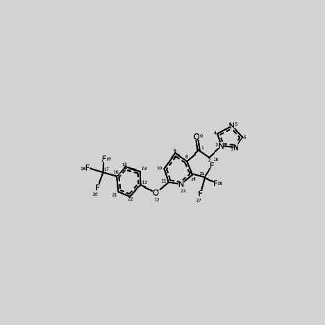 O=C(Cn1cncn1)c1ccc(Oc2ccc(C(F)(F)F)cc2)nc1C(F)(F)F